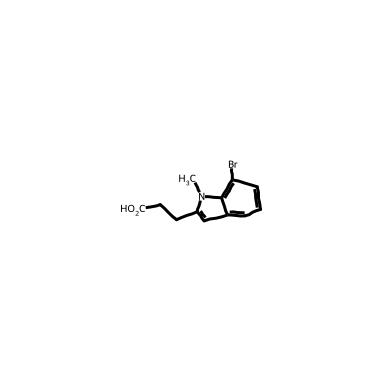 Cn1c(CCC(=O)O)cc2cccc(Br)c21